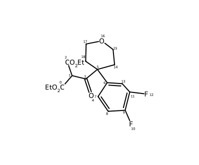 CCOC(=O)C(C(=O)OCC)C(=O)C1(c2ccc(F)c(F)c2)CCOCC1